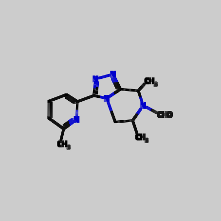 Cc1cccc(-c2nnc3n2CC(C)N(C=O)C3C)n1